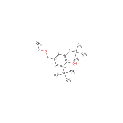 CCOCc1cc(CC(C)(C)C)c(O)c(C(C)(C)C)c1